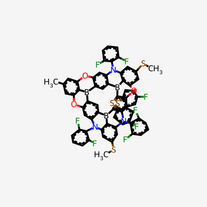 CSc1cc2c3c(c1)N(c1c(F)cccc1F)c1cc4c(cc1B3c1sc3ccc(F)cc3c1O2)B1c2cc3c(cc2Oc2cc(C)cc(c21)O4)N(c1c(F)cccc1F)c1cc(SC)cc2c1B3c1sc3ccc(F)cc3c1N2c1c(F)cccc1F